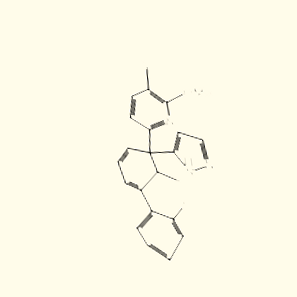 COc1nc(C2(c3ccn[nH]3)C=CC=C(c3ccccc3Cl)C2Cl)ccc1C=O